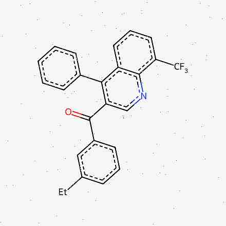 CCc1cccc(C(=O)c2cnc3c(C(F)(F)F)cccc3c2-c2ccccc2)c1